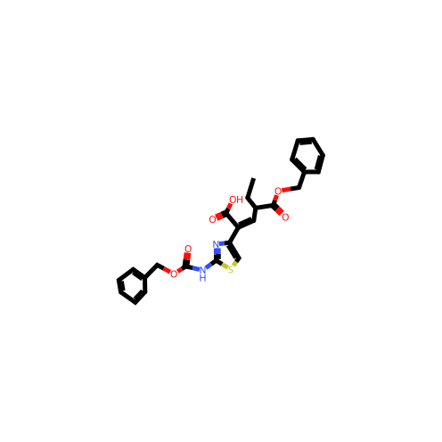 CCC(C=C(C(=O)O)c1csc(NC(=O)OCc2ccccc2)n1)C(=O)OCc1ccccc1